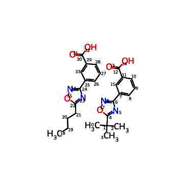 CC(C)(C)c1nc(-c2cccc(C(=O)O)c2)no1.CCCCc1nc(-c2cccc(C(=O)O)c2)no1